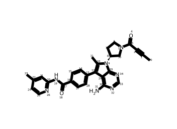 CC#CC(=O)N1CC[C@@H](n2c(C)c(-c3ccc(C(=O)Nc4cc(C)ccn4)cc3)c3c(N)ncnc32)C1